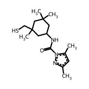 Cc1cc(C)n(C(=O)NC2CC(C)(C)CC(C)(CS)C2)n1